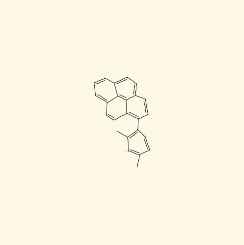 Cc1[c]c(C)c(-c2ccc3ccc4cccc5ccc2c3c45)cc1